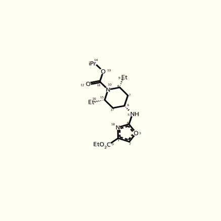 CCOC(=O)c1coc(N[C@H]2C[C@@H](CC)N(C(=O)OC(C)C)[C@@H](CC)C2)n1